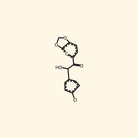 O=C(c1ccc2c(c1)OCO2)C(O)c1ccc(Cl)cc1